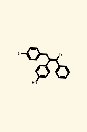 CC/C(=C(\Cc1ccc(Br)cc1)c1ccc(O)cc1)c1ccccc1